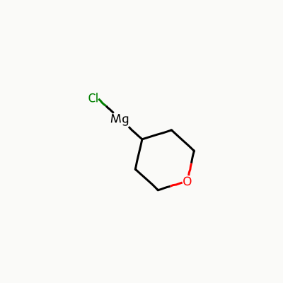 [Cl][Mg][CH]1CCOCC1